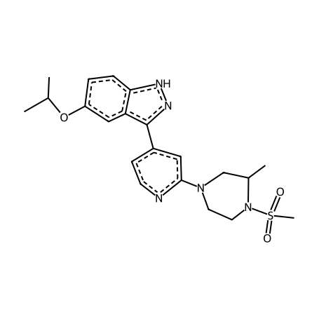 CC(C)Oc1ccc2[nH]nc(-c3ccnc(N4CCN(S(C)(=O)=O)C(C)C4)c3)c2c1